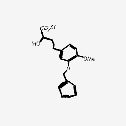 CCOC(=O)C(O)CCc1ccc(OC)c(OCc2ccccc2)c1